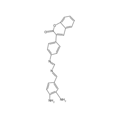 Nc1ccc(/C=N/C=N/c2ccc(-c3cc4ccccc4oc3=O)cc2)cc1N